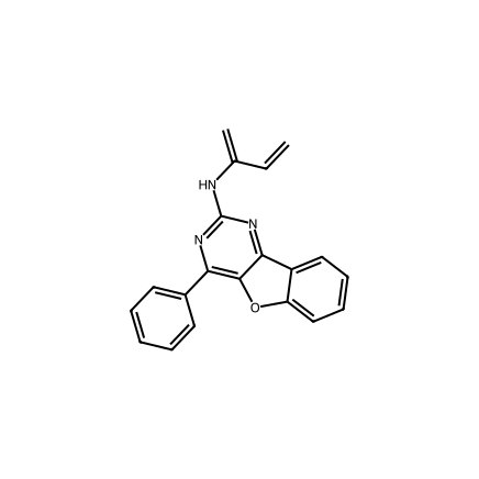 C=CC(=C)Nc1nc(-c2ccccc2)c2oc3ccccc3c2n1